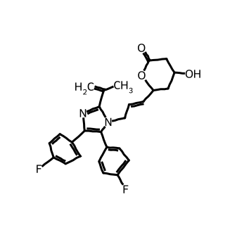 C=C(C)c1nc(-c2ccc(F)cc2)c(-c2ccc(F)cc2)n1CC=CC1CC(O)CC(=O)O1